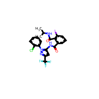 CC(C)NC(=O)c1c(I)cccc1C(=O)Nc1cc(C(F)(F)F)nn1-c1ccccc1Cl